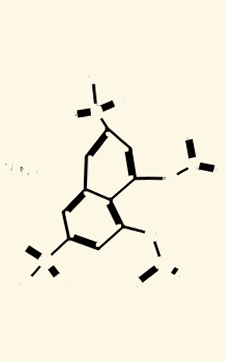 O=[SH](=O)Oc1cc(S(=O)(=O)[O-])cc2cc(S(=O)(=O)[O-])cc(O[SH](=O)=O)c12.[Na+].[Na+]